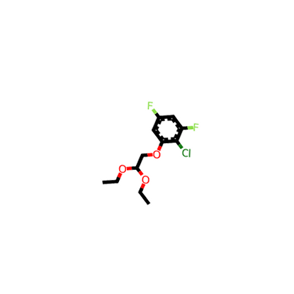 CCOC(COc1cc(F)cc(F)c1Cl)OCC